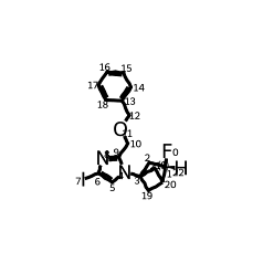 F[C@H]1CC2(n3cc(I)nc3COCc3ccccc3)CC1C2